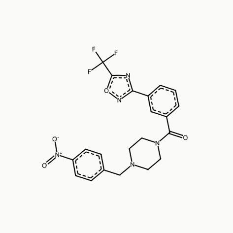 O=C(c1cccc(-c2noc(C(F)(F)F)n2)c1)N1CCN(Cc2ccc([N+](=O)[O-])cc2)CC1